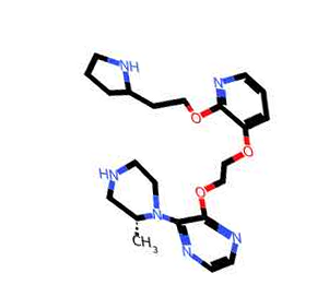 C[C@@H]1CNCCN1c1nccnc1OCCOc1cccnc1OCCC1CCCN1